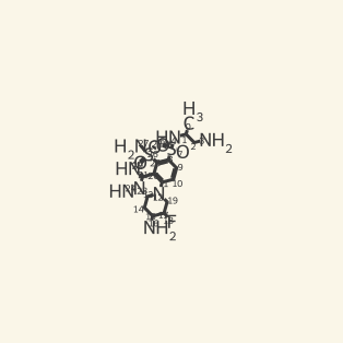 CC(CN)NS(=O)(=O)c1ccc(N2CCC(N)C(F)C2)c(C(=N)N=N)c1S(N)(=O)=O